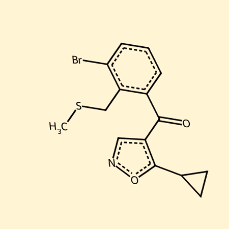 CSCc1c(Br)cccc1C(=O)c1cnoc1C1CC1